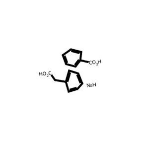 O=C(O)Cc1ccccc1.O=C(O)c1ccccc1.[NaH]